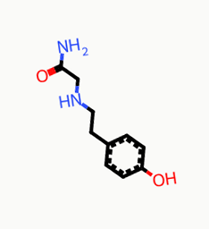 NC(=O)CNCCc1ccc(O)cc1